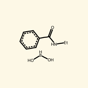 CCNC(=O)c1ccccc1.OBO